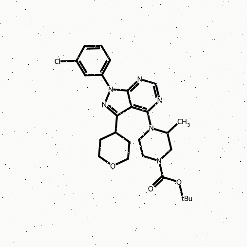 CC1CN(C(=O)OC(C)(C)C)CCN1c1ncnc2c1c(C1CCOCC1)nn2-c1cccc(Cl)c1